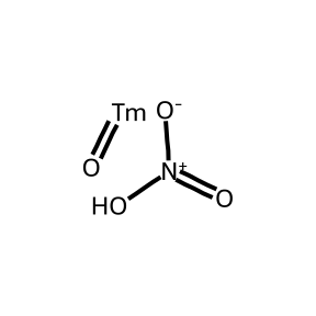 O=[N+]([O-])O.[O]=[Tm]